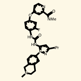 CNC(=O)c1cc(Oc2ccc(NC(=O)Nc3cc(C(C)C)nn3-c3ccc4c(c3)CCN(C)C4)c(F)c2)ccn1